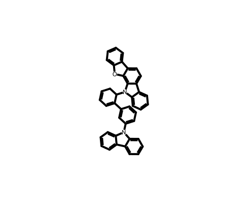 C1=CCC(n2c3ccccc3c3ccc4c5ccccc5oc4c32)C(c2cccc(-n3c4ccccc4c4ccccc43)c2)=C1